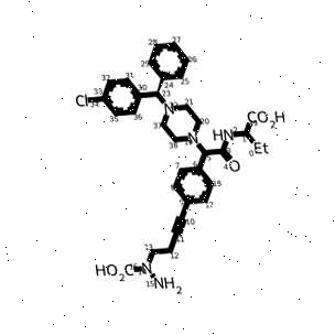 CCC(NC(=O)C(c1ccc(C#CCCN(N)C(=O)O)cc1)N1CCN([C@H](c2ccccc2)c2ccc(Cl)cc2)CC1)C(=O)O